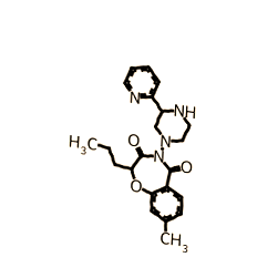 CCCC1Oc2cc(C)ccc2C(=O)N(N2CCNC(c3ccccn3)C2)C1=O